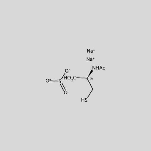 CC(=O)N[C@@H](CS)C(=O)O.O=S([O-])[O-].[Na+].[Na+]